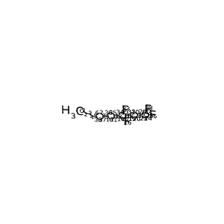 CCCCCC1CCC(C2CCC(c3cc(F)c(C4=CCC(c5ccc(F)c(F)c5)CC4)c(F)c3)CC2)CC1